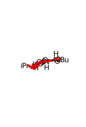 CC(C)CCC[C@@H](C)[C@H]1CC[C@H]2[C@@H]3CC=C4C[C@@H](OC(=O)CSSCC(=O)NCCCCCCCCNC(=O)OC(C)(C)C)CC[C@]4(C)[C@H]3CC[C@]12C